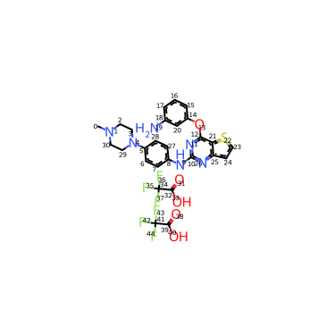 CN1CCN(c2ccc(Nc3nc(Oc4cccc(N)c4)c4sccc4n3)cc2)CC1.O=C(O)C(F)(F)F.O=C(O)C(F)(F)F